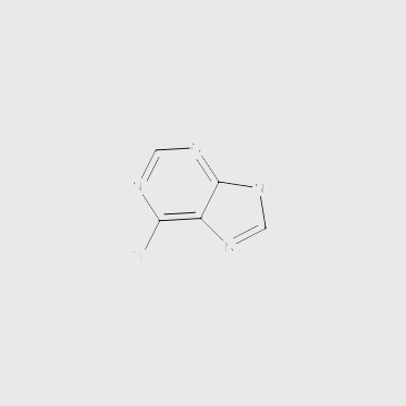 CCc1ncnc2[nH]cnc12